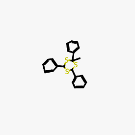 CC1(c2ccccc2)SC(c2ccccc2)SC(c2ccccc2)S1